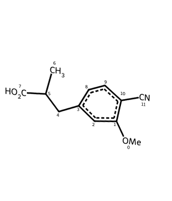 COc1cc(CC(C)C(=O)O)ccc1C#N